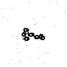 CC1(C)c2ccccc2-c2ccc(-c3ccc(-n4c5ccccc5c5ccc6sc7ccccc7c6c54)cc3)cc21